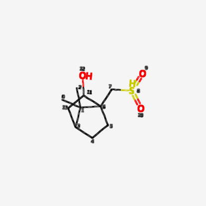 CC1(C)C2CCC1(C[SH](=O)=O)C(O)C2